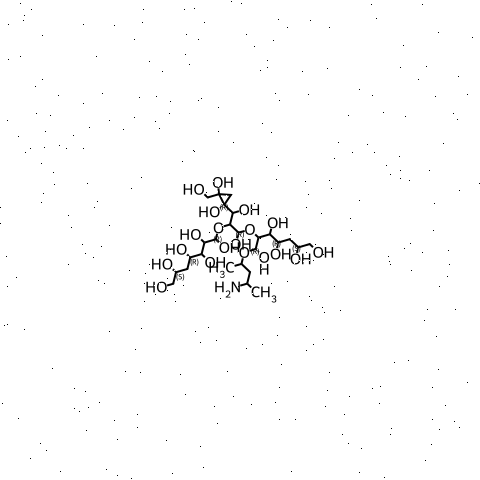 CC(N)CC(C)O[C@@H](O)C(O[C@@H](O)C(O[C@@H](O)C(O)C(O)[C@H](O)C[C@H](O)CO)C(O)[C@]1(O)CC1(O)CO)C(O)[C@H](O)C[C@H](O)CO